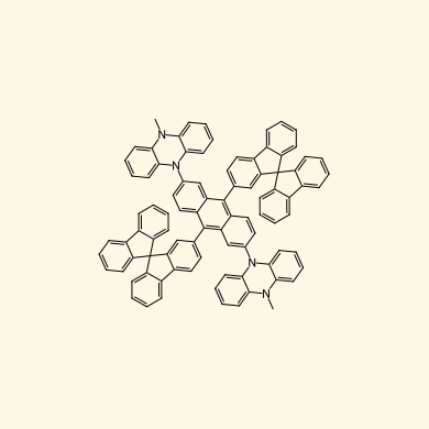 CN1c2ccccc2N(c2ccc3c(-c4ccc5c(c4)C4(c6ccccc6-c6ccccc64)c4ccccc4-5)c4cc(N5c6ccccc6N(C)c6ccccc65)ccc4c(-c4ccc5c(c4)C4(c6ccccc6-c6ccccc64)c4ccccc4-5)c3c2)c2ccccc21